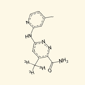 [2H]C([2H])([2H])c1cc(Nc2cc(C)ccn2)nnc1C(N)=O